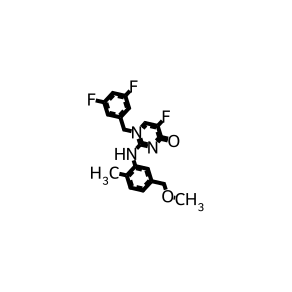 COCc1ccc(C)c(Nc2nc(=O)c(F)cn2Cc2cc(F)cc(F)c2)c1